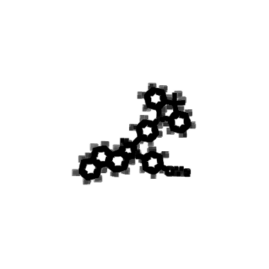 COc1ccc(-n2c(-c3ccc(N4c5ccccc5C(C)(C)c5ccccc54)cc3)nc3c4ccc5ccccc5c4ccc32)cc1